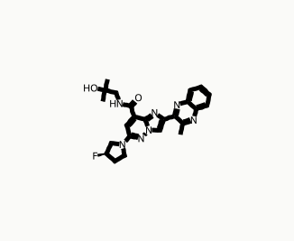 Cc1nc2ccccc2nc1-c1cn2nc(N3CC[C@@H](F)C3)cc(C(=O)NCC(C)(C)O)c2n1